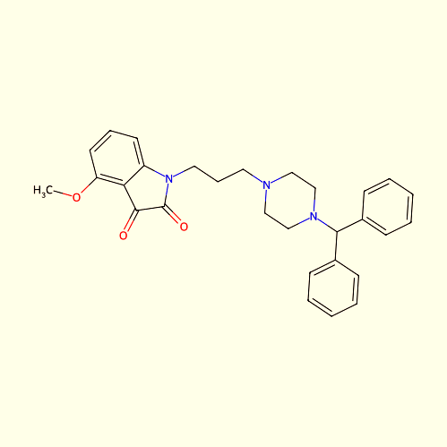 COc1cccc2c1C(=O)C(=O)N2CCCN1CCN(C(c2ccccc2)c2ccccc2)CC1